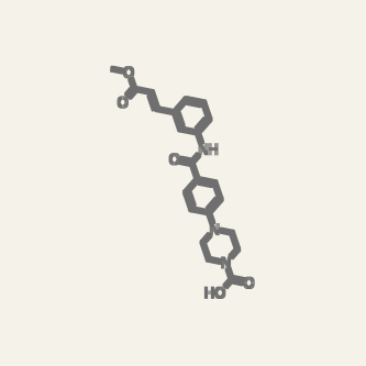 COC(=O)/C=C/c1cccc(NC(=O)c2ccc(N3CCN(C(=O)O)CC3)cc2)c1